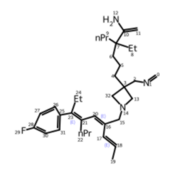 C=NCC1(CCCC(CC)(CCC)C(=C)N)CN(CC(/C=C/C)=C/C(CCC)=C(\CC)c2ccc(F)cc2)C1